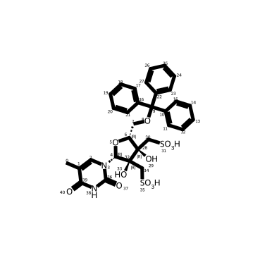 Cc1cn([C@@H]2O[C@H](COC(c3ccccc3)(c3ccccc3)c3ccccc3)[C@](O)(CS(=O)(=O)O)[C@]2(O)CS(=O)(=O)O)c(=O)[nH]c1=O